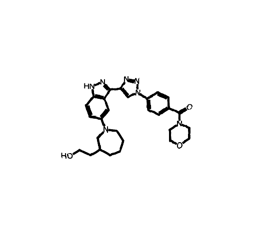 O=C(c1ccc(-n2cc(-c3n[nH]c4ccc(N5CCCCC(CCO)C5)cc34)nn2)cc1)N1CCOCC1